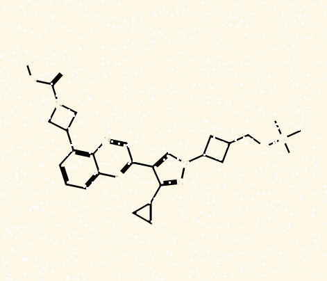 CC(C)(C)OC(=O)N1CC(c2cccc3nc(-c4cn(C5CC(CO[Si](C)(C)C(C)(C)C)C5)nc4C4CC4)cnc23)C1